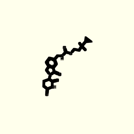 CC(C)(CCOC(=O)NCc1ccc2c(c1)C(=O)N(C1CCC(=O)NC1=O)C2)C1CC1